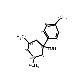 Cc1ccc(C2(O)CN(C)CN(C)C2)cc1